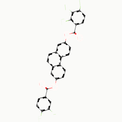 O=C(Oc1ccc2c(ccc3cc(OC(=O)c4ccc(F)c(F)c4F)ccc32)c1)c1ccc(F)c(F)c1